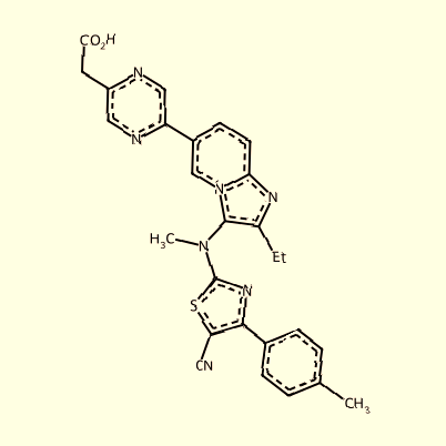 CCc1nc2ccc(-c3cnc(CC(=O)O)cn3)cn2c1N(C)c1nc(-c2ccc(C)cc2)c(C#N)s1